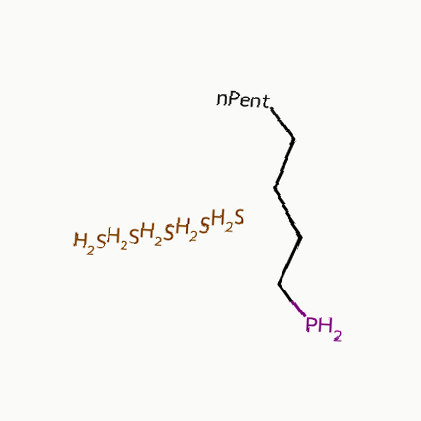 CCCCCCCCCP.S.S.S.S.S